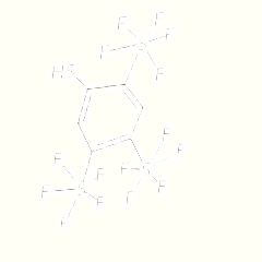 FS(F)(F)(F)(F)c1cc(S(F)(F)(F)(F)F)c(S(F)(F)(F)(F)F)cc1S